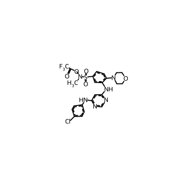 CN(OC(=O)C(F)(F)F)S(=O)(=O)c1ccc(N2CCOCC2)c(Nc2cc(Nc3ccc(Cl)cc3)ncn2)c1